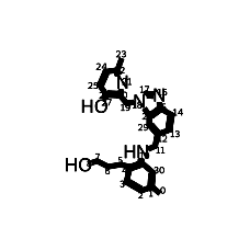 Cc1ccc(CCCO)c(NCc2ccc3ncn(Cc4nc(C)ccc4O)c3c2)c1